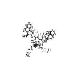 CCCCN1c2ccc3ccccc3c2C(C)(C)C1/C=C/C1=CC(=C/C=C2/N(CCC)c3ccc4ccccc4c3C2(C)C)/CC(C(=O)NCCCCCC(C)=O)(C(=O)NCCS(=O)(=O)O)C1